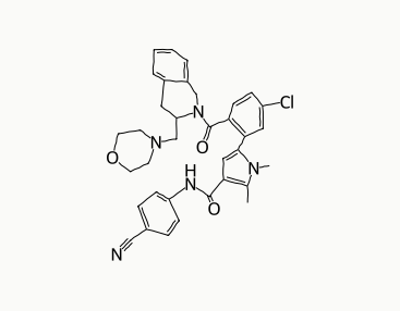 Cc1c(C(=O)Nc2ccc(C#N)cc2)cc(-c2cc(Cl)ccc2C(=O)N2Cc3ccccc3CC2CN2CCOCC2)n1C